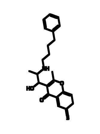 Cc1oc2c(c(=O)c1C(O)C(C)NCCCCc1ccccc1)=CC(=S)CC=2